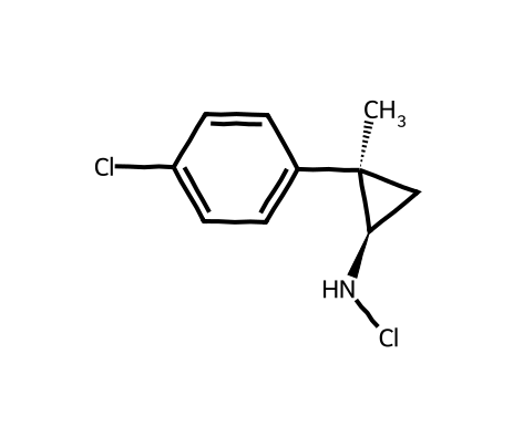 C[C@]1(c2ccc(Cl)cc2)C[C@H]1NCl